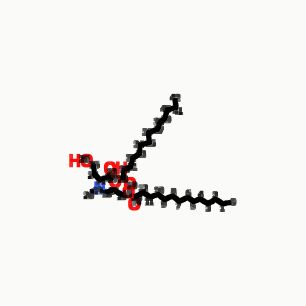 CCCCCCCCCCCCCC(=O)OCC(CN(C)C(CO)CCO)OC(=O)CCCCCCCCCCCCC